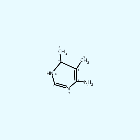 CC1=C(N)N=CNC1C